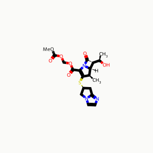 COC(=O)OCOC(=O)C1=C(S[C@@H]2Cc3nccn3C2)[C@H](C)[C@@H]2[C@@H]([C@@H](C)O)C(=O)N12